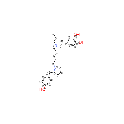 CCCN(CCCCCN1CCCC1Cc1ccc(O)cc1)CCc1ccc(O)c(O)c1